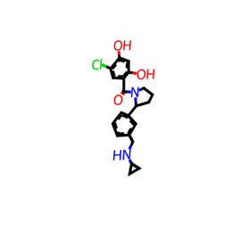 O=C(c1cc(Cl)c(O)cc1O)N1CCCC1c1cccc(CNC2CC2)c1